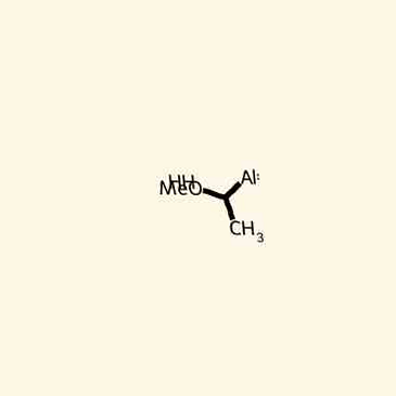 CO[CH](C)[Al].[HH]